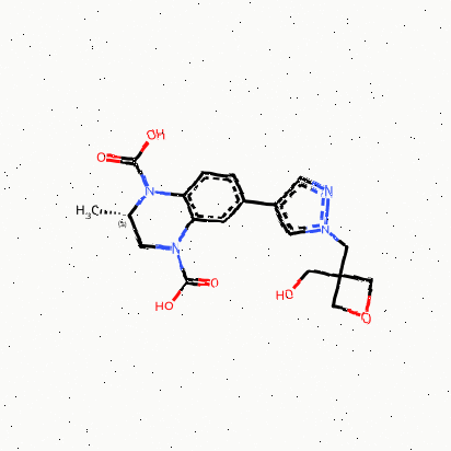 C[C@H]1CN(C(=O)O)c2cc(-c3cnn(CC4(CO)COC4)c3)ccc2N1C(=O)O